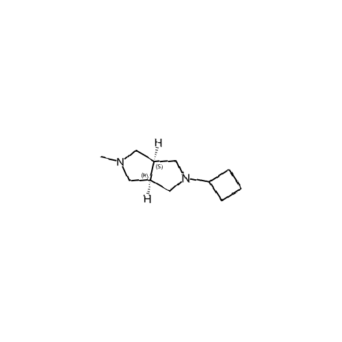 CN1C[C@@H]2CN(C3CCC3)C[C@@H]2C1